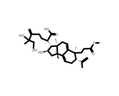 C=C(C)[C@@H]1CC=C2C(=CC[C@]3(C)[C@@H](C(CCC(=C)C(C)(O)CO)C(=O)O)[C@H](O)C[C@@]23C)[C@@]1(C)CCC(=O)OC